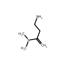 C=C(CCN)N(C)C